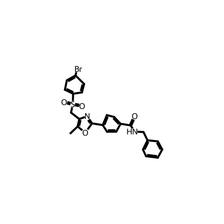 Cc1oc(-c2ccc(C(=O)NCc3ccccc3)cc2)nc1CS(=O)(=O)c1ccc(Br)cc1